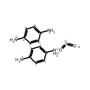 Nc1ccc(N)cc1.Nc1ccc(N)cc1.O=S=O